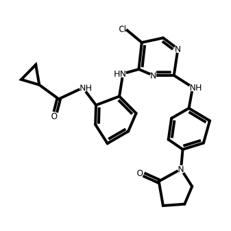 O=C(Nc1ccccc1Nc1nc(Nc2ccc(N3CCCC3=O)cc2)ncc1Cl)C1CC1